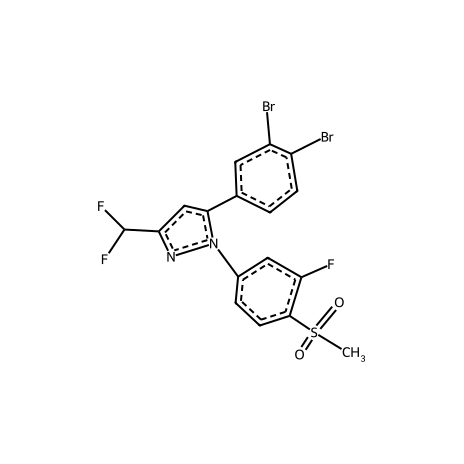 CS(=O)(=O)c1ccc(-n2nc(C(F)F)cc2-c2ccc(Br)c(Br)c2)cc1F